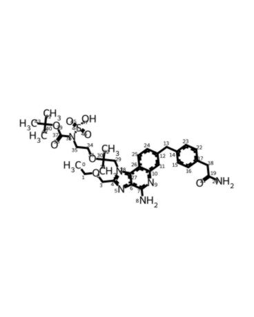 CCOCc1nc2c(N)nc3cc(Cc4ccc(CC(N)=O)cc4)ccc3c2n1CC(C)(C)OCCN(C(=O)OC(C)(C)C)S(=O)(=O)O